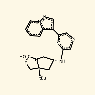 CC(C)(C)[C@]1(CF)C[C@@H](Nc2cncc(-c3cnn4ccccc34)n2)CN1C(=O)O